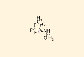 CC(=O)N/C=C(\C(C)=O)C(F)(F)F